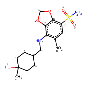 CC1(O)CCC(CNc2c([N+](=O)[O-])cc(S(N)(=O)=O)c3c2OCO3)CC1